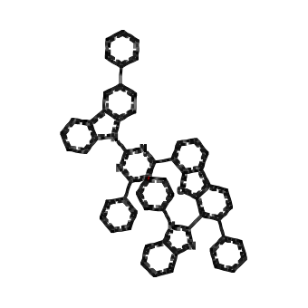 c1ccc(-c2ccc3c(c2)c2ccccc2n3-c2nc(-c3ccccc3)nc(-c3cccc4c3oc3c(-c5nc6ccccc6n5-c5ccccc5)c(-c5ccccc5)ccc34)n2)cc1